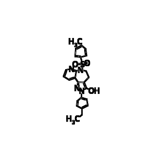 CCc1ccc(-n2nc3c(c2O)CCN(S(=O)(=O)c2ccc(C)cc2)c2ncccc2-3)cc1